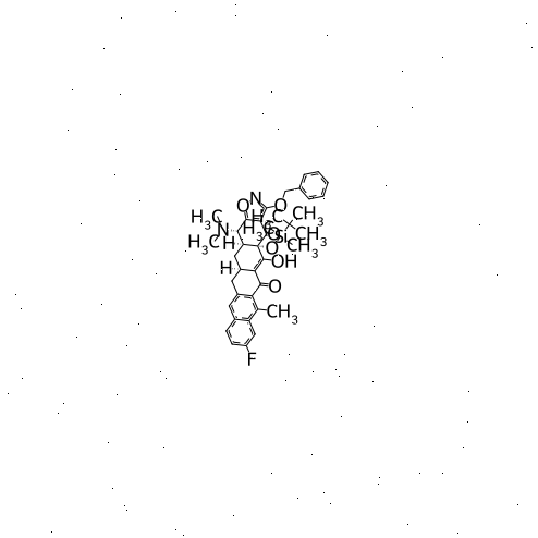 Cc1c2c(cc3ccc(F)cc13)C[C@H]1C[C@H]3[C@H](N(C)C)c4onc(OCc5ccccc5)c4C(=O)[C@@]3(O[Si](C)(C)C(C)(C)C)C(O)=C1C2=O